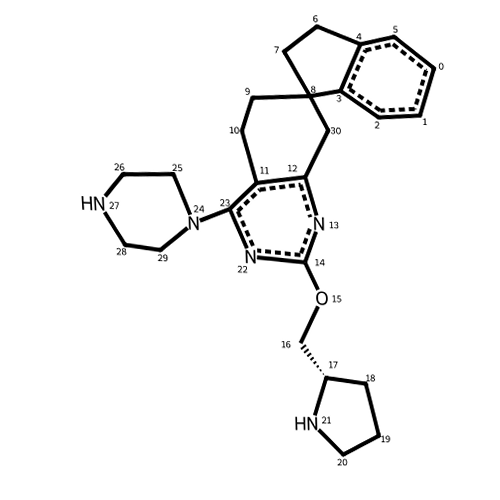 c1ccc2c(c1)CCC21CCc2c(nc(OC[C@@H]3CCCN3)nc2N2CCNCC2)C1